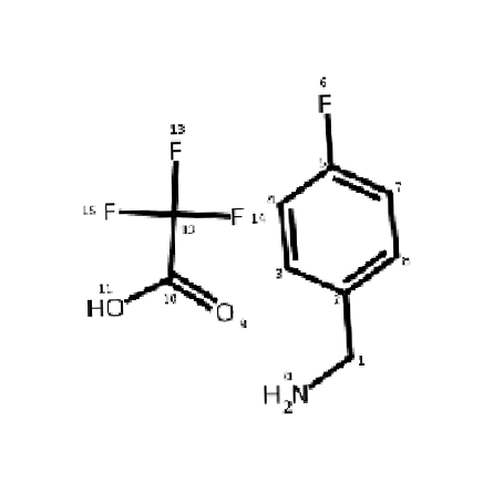 NCc1ccc(F)cc1.O=C(O)C(F)(F)F